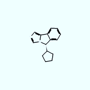 c1ccc2c(c1)-c1cncn1[C@@H]2C1CCCC1